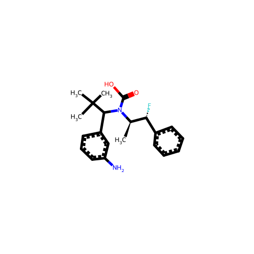 C[C@H]([C@H](F)c1ccccc1)N(C(=O)O)C(c1cccc(N)c1)C(C)(C)C